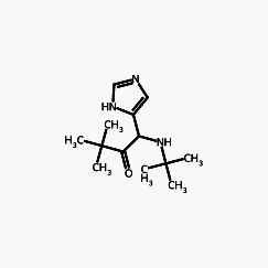 CC(C)(C)NC(C(=O)C(C)(C)C)c1cnc[nH]1